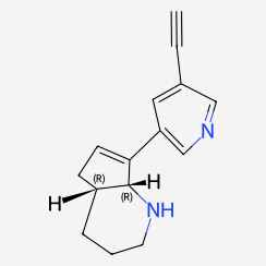 C#Cc1cncc(C2=CC[C@H]3CCCN[C@@H]23)c1